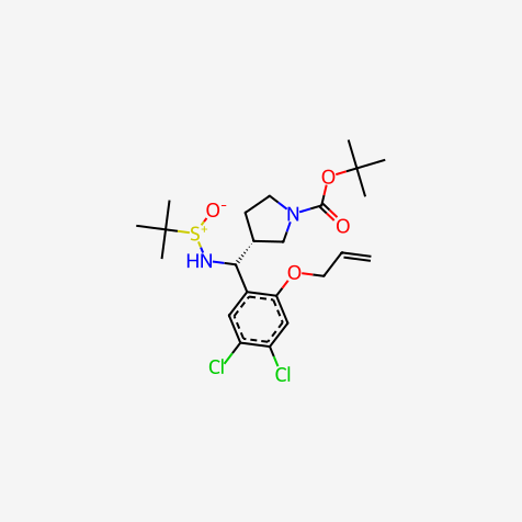 C=CCOc1cc(Cl)c(Cl)cc1C(N[S+]([O-])C(C)(C)C)[C@@H]1CCN(C(=O)OC(C)(C)C)C1